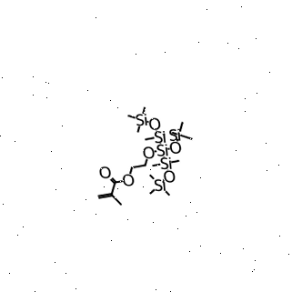 C=C(C)C(=O)OCCO[Si](O[Si](C)(C)C)([Si](C)(C)O[Si](C)(C)C)[Si](C)(C)O[Si](C)(C)C